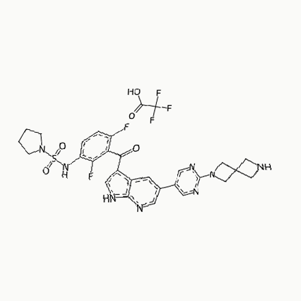 O=C(O)C(F)(F)F.O=C(c1c(F)ccc(NS(=O)(=O)N2CCCC2)c1F)c1c[nH]c2ncc(-c3cnc(N4CC5(CNC5)C4)nc3)cc12